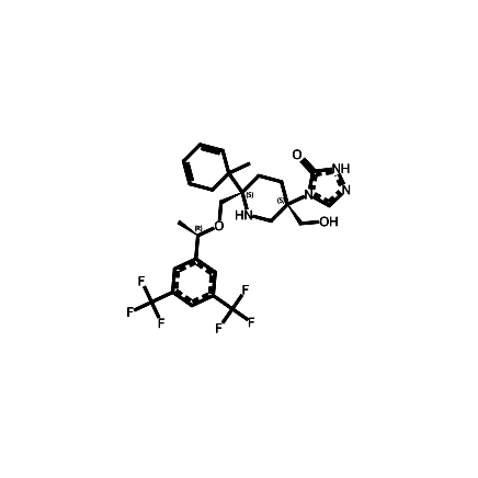 C[C@@H](OC[C@@]1(C2(C)C=CC=CC2)CC[C@](CO)(n2cn[nH]c2=O)CN1)c1cc(C(F)(F)F)cc(C(F)(F)F)c1